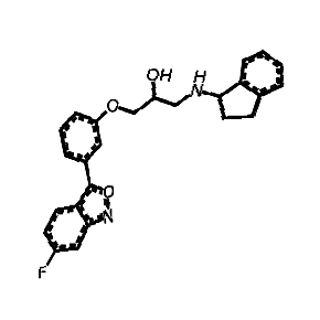 OC(CNC1CCc2ccccc21)COc1cccc(-c2onc3cc(F)ccc23)c1